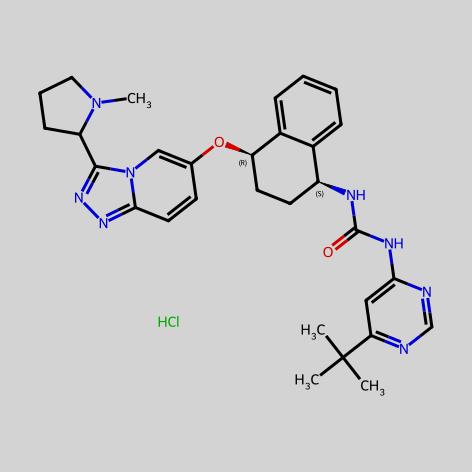 CN1CCCC1c1nnc2ccc(O[C@@H]3CC[C@H](NC(=O)Nc4cc(C(C)(C)C)ncn4)c4ccccc43)cn12.Cl